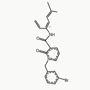 C=C/C(=C\C=C(C)C)NC(=O)c1cccn(Cc2cccc(Br)c2)c1=O